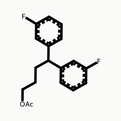 CC(=O)OCCCC(c1cccc(F)c1)c1cccc(F)c1